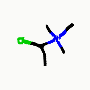 CC(Cl)[N+](C)(C)C